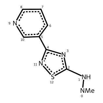 CNNc1nc(-c2cccnc2)ns1